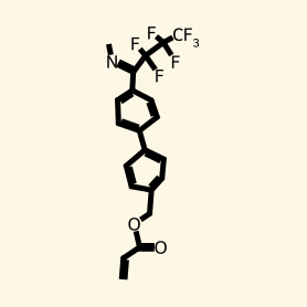 C=CC(=O)OCc1ccc(-c2ccc(/C(=N/C)C(F)(F)C(F)(F)C(F)(F)F)cc2)cc1